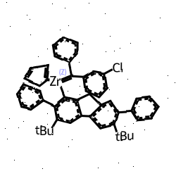 CC(C)(C)c1cc2c(cc1-c1ccccc1)Cc1c-2cc(C(C)(C)C)c(-c2ccccc2)[c]1/[Zr]([C]1=CC=CC1)=[C](/c1ccccc1)c1cccc(Cl)c1